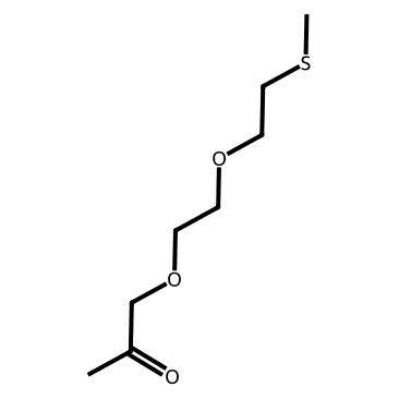 CSCCOCCOCC(C)=O